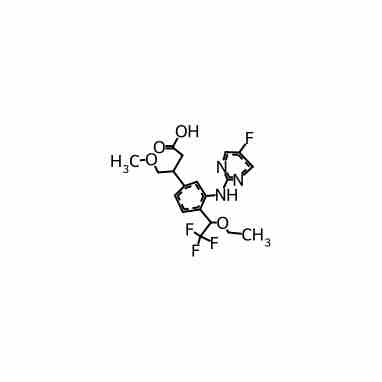 CCOC(c1ccc(C(COC)CC(=O)O)cc1Nc1ncc(F)cn1)C(F)(F)F